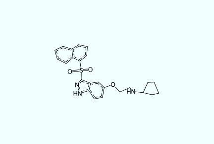 O=S(=O)(c1cccc2ccccc12)c1n[nH]c2ccc(OCCNC3CCCC3)cc12